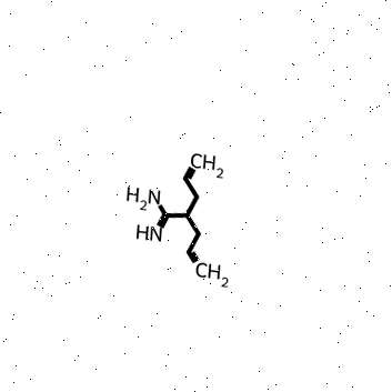 C=CC[C](CC=C)C(=N)N